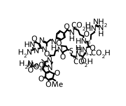 COC1=C(C)C(=O)C2=C(C1=O)[C@H](COC(N)=O)[C@]1(OC)[C@@H](C)N(C(=O)CCN3C(=O)CC(SC[C@@H](NC(=O)[C@@H](CC(=O)O)NC(=O)[C@@H](CCCNC(=N)N)NC(=O)CC[C@@H](NC(=O)c4ccc(NCc5cnc6nc(N)[nH]c(=O)c6n5)cc4)C(=O)O)C(=O)O)C3=O)CN21